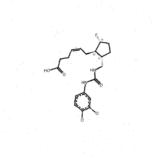 O=C(O)CC/C=C\C[C@@H]1[C@@H](CNC(=O)Nc2ccc(Cl)c(Cl)c2)CC[C@H]1F